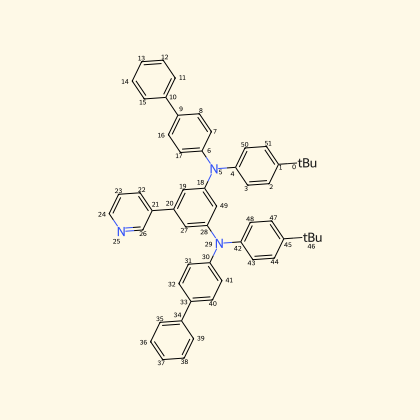 CC(C)(C)c1ccc(N(c2ccc(-c3ccccc3)cc2)c2cc(-c3cccnc3)cc(N(c3ccc(-c4ccccc4)cc3)c3ccc(C(C)(C)C)cc3)c2)cc1